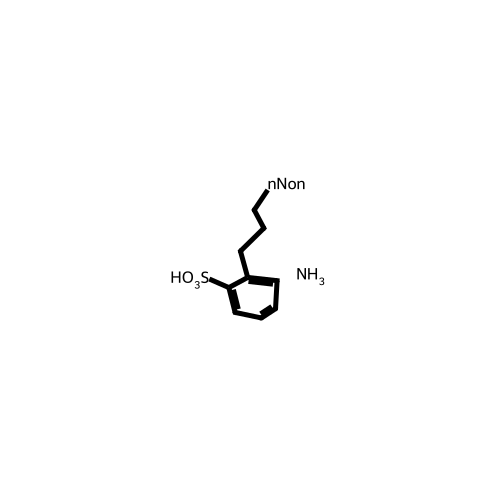 CCCCCCCCCCCCc1ccccc1S(=O)(=O)O.N